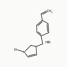 Br.C=Cc1ccc(CN2C=CN(CC)C2)cc1